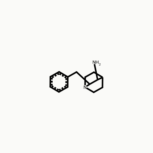 NC1C2CCN(CC2)C1Cc1ccccc1